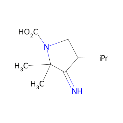 CC(C)C1CN(C(=O)O)C(C)(C)C1=N